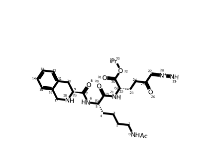 CC(=O)NCCCC[C@H](NC(=O)[C@@H]1Cc2ccccc2CN1)C(=O)N[C@@H](CCC(=O)C=[N+]=N)C(=O)OC(C)C